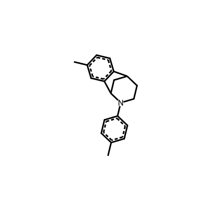 Cc1ccc(N2CCC3CC2c2cc(C)ccc23)cc1